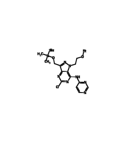 CCOCCn1nc(CO[Si](C)(C)C(C)(C)C)c2nc(Cl)nc(Nc3ccncn3)c21